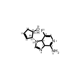 NC1=NC=C(F)C2C1N=CN2[C@@H]1C=CC[C@H]1O